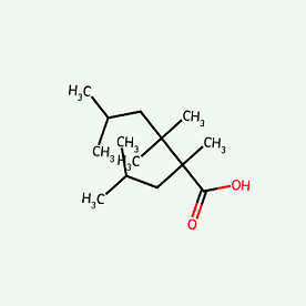 CC(C)CC(C)(C)C(C)(CC(C)C)C(=O)O